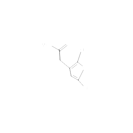 COC(=O)Cc1cc(C)oc1C(F)(F)F